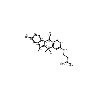 CCN(CC)CCOC1=CC2=C(CC1)C(=O)c1c(n(C)c3cc(Br)ccc13)C2(C)C